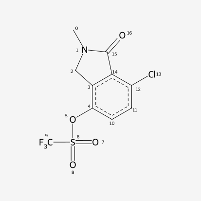 CN1Cc2c(OS(=O)(=O)C(F)(F)F)ccc(Cl)c2C1=O